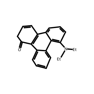 CCN(CC)c1cccc2c3c(c4ccccc4c12)C(=O)CC=C3